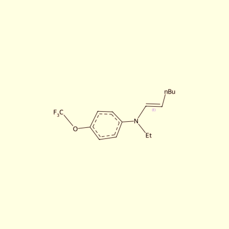 [CH2]CCC/C=C/N(CC)c1ccc(OC(F)(F)F)cc1